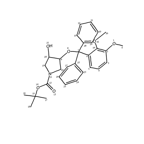 COc1cccc(C(OC2CN(C(=O)OC(C)(C)C)CC2O)(c2ccccc2)c2ccccc2)c1OC